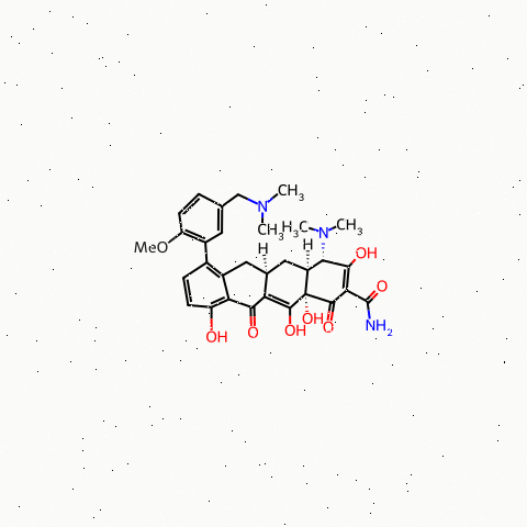 COc1ccc(CN(C)C)cc1-c1ccc(O)c2c1C[C@H]1C[C@H]3[C@H](N(C)C)C(O)=C(C(N)=O)C(=O)[C@@]3(O)C(O)=C1C2=O